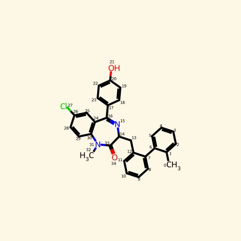 Cc1ccccc1-c1ccccc1CC1N=C(c2ccc(O)cc2)c2cc(Cl)ccc2N(C)C1=O